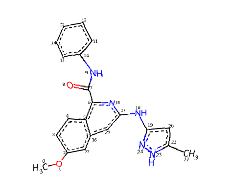 COc1ccc2c(C(=O)Nc3ccccc3)nc(Nc3cc(C)[nH]n3)cc2c1